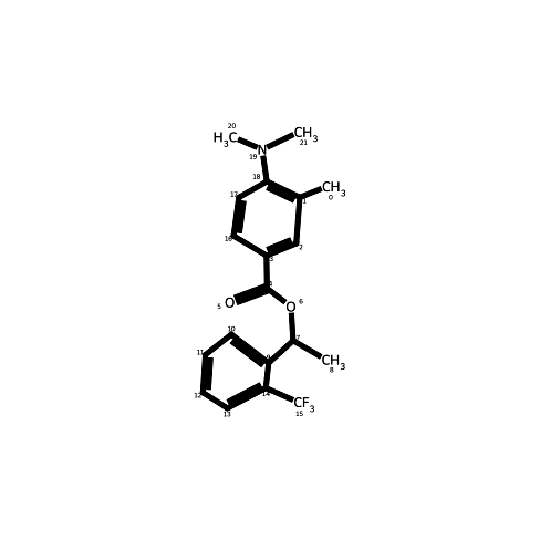 Cc1cc(C(=O)OC(C)c2ccccc2C(F)(F)F)ccc1N(C)C